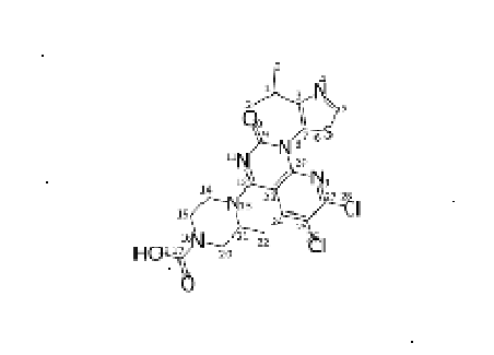 CC(C)c1ncsc1-n1c(=O)nc(N2CCN(C(=O)O)CC2C)c2cc(Cl)c(Cl)nc21